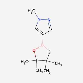 Cn1cc(B2CC(C)(C)C(C)(C)O2)cn1